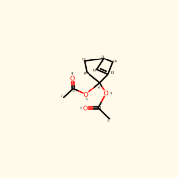 CC(=O)OC1(OC(C)=O)CCC2C=C1C2